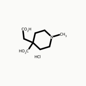 CN1CCC(CC(=O)O)(C(=O)O)CC1.Cl